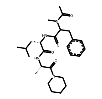 CC(=O)N(C)C(Cc1ccccc1)C(=O)N[C@@H](CC(C)C)C(=O)N[C@@H](C)C(=O)N1CCCCC1